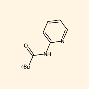 CCCCC(=O)Nc1ccccn1